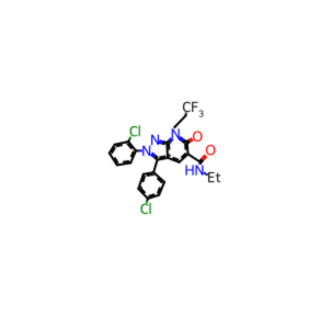 CCNC(=O)c1cc2c(-c3ccc(Cl)cc3)n(-c3ccccc3Cl)nc2n(CCC(F)(F)F)c1=O